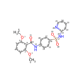 COc1cccc(OC)c1C(=O)Nc1ccc(S(=O)(=O)Nc2ccccn2)cc1